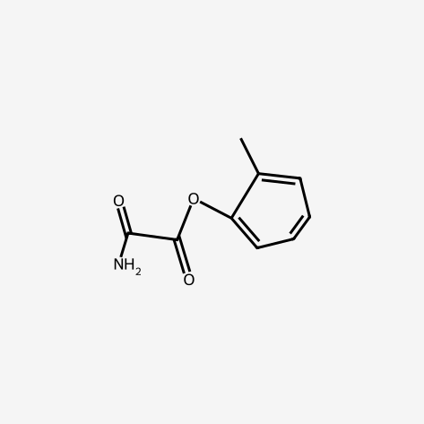 Cc1ccccc1OC(=O)C(N)=O